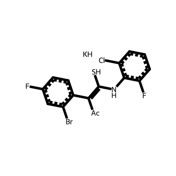 CC(=O)/C(=C(/S)Nc1c(F)cccc1Cl)c1ccc(F)cc1Br.[KH]